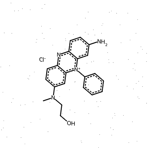 CN(CCO)c1ccc2nc3ccc(N)cc3[n+](-c3ccccc3)c2c1.[Cl-]